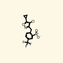 O=[N+]([O-])c1cc(C(F)(F)F)ccc1Cc1noc(C2CC2)c1Cl